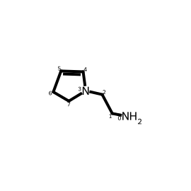 NCCN1C=CCC1